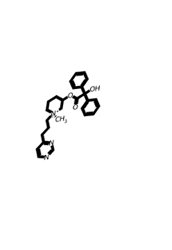 C[N@@+]1(CCCc2ccncn2)CCCC(OC(=O)C(O)(c2ccccc2)c2ccccc2)C1